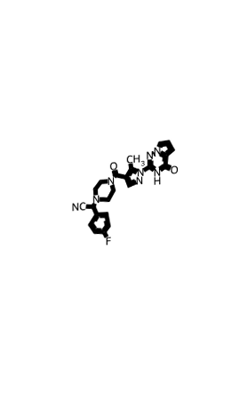 Cc1c(C(=O)N2CCN(C(C#N)c3ccc(F)cc3)CC2)cnn1-c1nn2cccc2c(=O)[nH]1